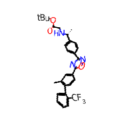 Cc1cc(-c2nc(-c3ccc([C@@H](C)NCC(=O)OC(C)(C)C)cc3)no2)ccc1-c1ccccc1C(F)(F)F